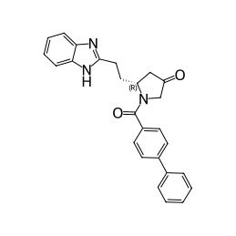 O=C1C[C@@H](CCc2nc3ccccc3[nH]2)N(C(=O)c2ccc(-c3ccccc3)cc2)C1